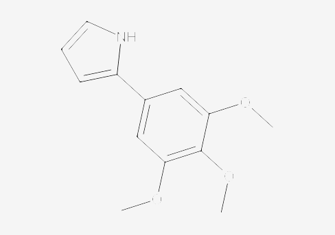 COc1cc(-c2ccc[nH]2)cc(OC)c1OC